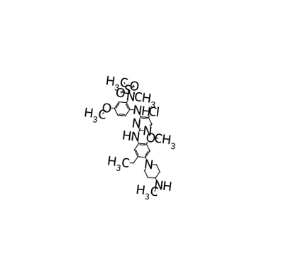 CCc1cc(Nc2ncc(Cl)c(Nc3ccc(OC)cc3N(C)S(C)(=O)=O)n2)c(OC)cc1N1CCC(NC)CC1